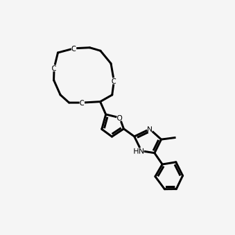 Cc1nc(-c2ccc(C3CCCCCCCCCCCC3)o2)[nH]c1-c1ccccc1